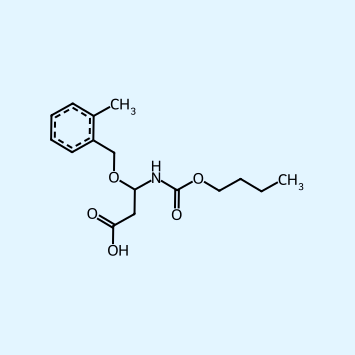 CCCCOC(=O)NC(CC(=O)O)OCc1ccccc1C